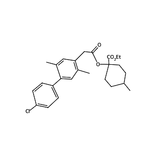 CCOC(=O)C1(OC(=O)Cc2cc(C)c(-c3ccc(Cl)cc3)cc2C)CCC(C)CC1